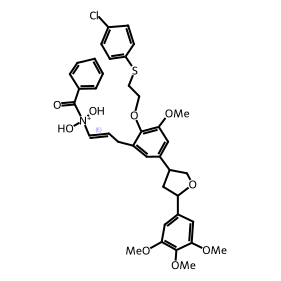 COc1cc(C2COC(c3cc(OC)c(OC)c(OC)c3)C2)cc(C/C=C/[N+](O)(O)C(=O)c2ccccc2)c1OCCSc1ccc(Cl)cc1